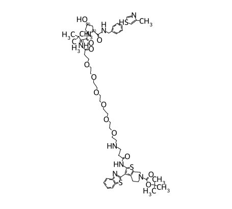 CC1=C[SH](c2ccc(CNC(=O)[C@@H]3C[C@@H](O)CN3C(=O)[C@@H](NC(=O)CCOCCOCCOCCOCCOCCOCCNCCC(=O)Nc3sc4c(c3-c3nc5ccccc5s3)CCN(C(=O)OC(C)(C)C)C4)C(C)(C)C)cc2)C=N1